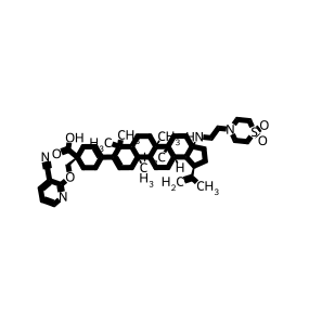 C=C(C)[C@@H]1CC[C@]2(NCCN3CCS(=O)(=O)CC3)CC[C@]3(C)[C@H](CCC4[C@@]5(C)CC=C(C6=CC[C@@](COc7ncccc7C#N)(C(=O)O)CC6)C(C)(C)C5CC[C@]43C)C12